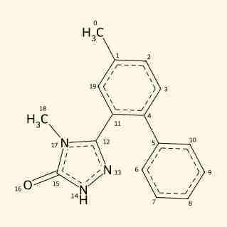 Cc1ccc(-c2ccccc2)c(-c2n[nH]c(=O)n2C)c1